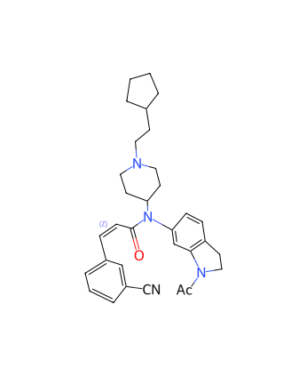 CC(=O)N1CCc2ccc(N(C(=O)/C=C\c3cccc(C#N)c3)C3CCN(CCC4CCCC4)CC3)cc21